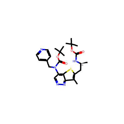 Cc1c(C[C@H](C)NC(=O)OC(C)(C)C)sc2c(N(Cc3ccncc3)C(=O)OC(C)(C)C)cnnc12